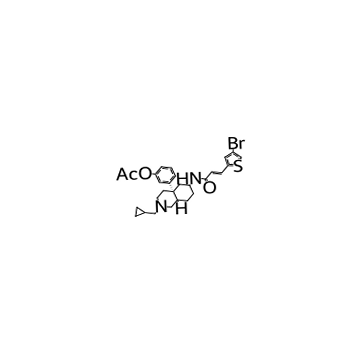 CC(=O)Oc1cccc([C@@]23CCN(CC4CC4)C[C@H]2CC[C@H](NC(=O)/C=C/c2cc(Br)cs2)C3)c1